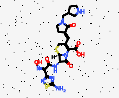 Nc1nc(/C(=N/O)C(=O)N[C@@H]2C(=O)N3C(C(=O)O)=C(/C=C4\CCN(CC5CCNC5)C4=O)CS[C@H]23)ns1